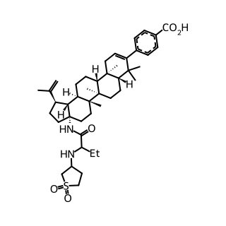 C=C(C)[C@@H]1CC[C@]2(NC(=O)C(CC)NC3CCS(=O)(=O)C3)CC[C@]3(C)[C@H](CC[C@@H]4[C@@]5(C)CC=C(c6ccc(C(=O)O)cc6)C(C)(C)[C@@H]5CC[C@]43C)[C@@H]12